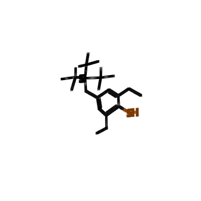 CCc1cc(C[Si](C(C)(C)C)(C(C)(C)C)C(C)(C)C)cc(CC)c1S